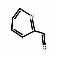 O=Cc1[c]cccn1